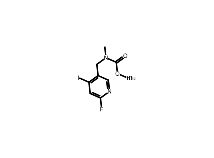 CN(Cc1cnc(F)cc1I)C(=O)OC(C)(C)C